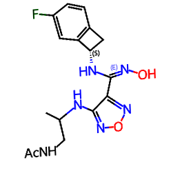 CC(=O)NCC(C)Nc1nonc1/C(=N\O)N[C@H]1Cc2ccc(F)cc21